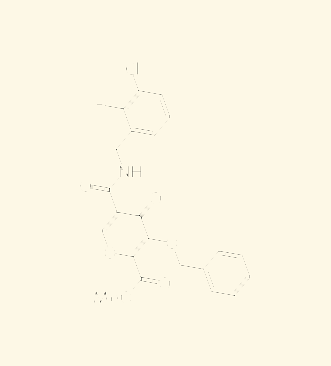 COC(=O)c1occ(C(=O)NCc2cccc(Cl)c2F)c(=O)c1OCc1ccccc1